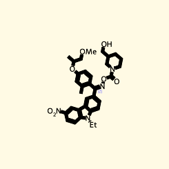 CCn1c2ccc(/C(=N/OC(=O)N3CCCC(CO)C3)c3ccc(OC(C)COC)cc3C)cc2c2cc([N+](=O)[O-])ccc21